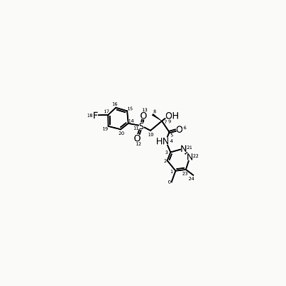 Cc1cc(NC(=O)[C@@](C)(O)CS(=O)(=O)c2ccc(F)cc2)nnc1C